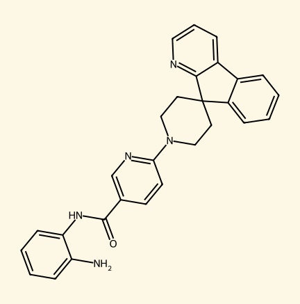 Nc1ccccc1NC(=O)c1ccc(N2CCC3(CC2)c2ccccc2-c2cccnc23)nc1